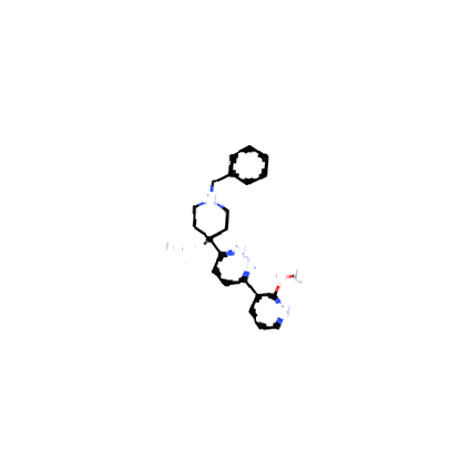 CCOC(=O)C1(c2ccc(-c3cccnc3OCC)nn2)CCN(Cc2ccccc2)CC1